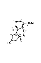 [CH2]CN1C[C@@H]2COc3c(OC)cccc3[C@@H]2C1